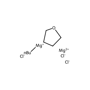 C1CCOC1.CCC[CH2][Mg+].[Cl-].[Cl-].[Cl-].[Mg+2]